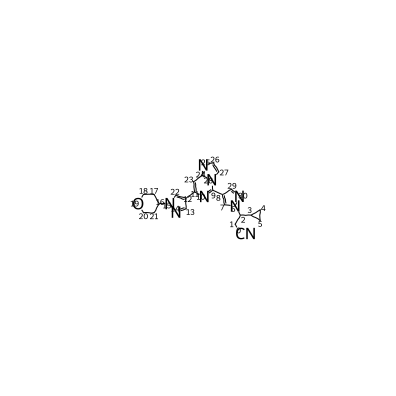 N#CCC(C1CC1)n1cc(-c2nc(-c3cnn(C4CCOCC4)c3)cc3nccn23)cn1